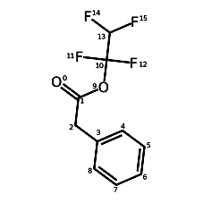 O=C(Cc1ccccc1)OC(F)(F)C(F)F